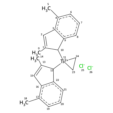 CC1=Cc2c(C)cccc2[CH]1[Ti+2]1([CH]2C(C)=Cc3c(C)cccc32)[CH2][CH2]1.[Cl-].[Cl-]